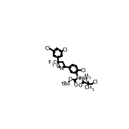 CC(C)(C)OC(=O)N(NC(=O)C(C)(C)CCl)c1cc(C2=NOC(c3cc(Cl)cc(Cl)c3)(C(F)(F)F)C2)ccc1Cl